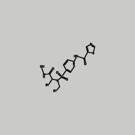 CC(C)CN(C(C(=O)NO)C(C)C)S(=O)(=O)c1ccc(NC(=O)c2cncs2)cc1